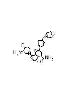 NC(=O)c1cc(-c2ccc(CN3CCOCC3)cc2)nc2c(N3CC[C@@H](F)[C@H](N)C3)ncnc12